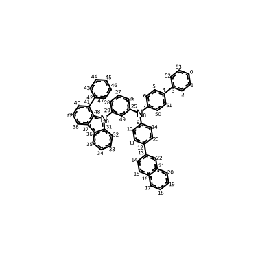 c1ccc(-c2ccc(N(c3ccc(-c4ccc5ccccc5c4)cc3)c3cccc(-n4c5ccccc5c5cccc(-c6ccccc6)c54)c3)cc2)cc1